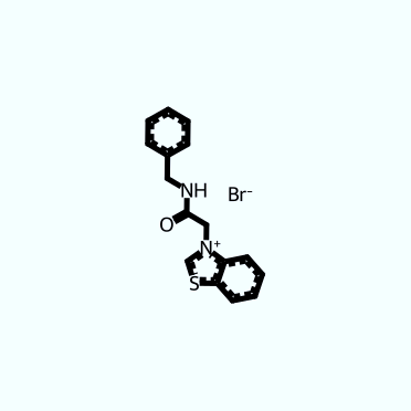 O=C(C[n+]1csc2ccccc21)NCc1ccccc1.[Br-]